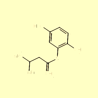 C=C(CC(CCC)CCC)Sc1cc(C)ccc1C